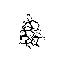 CC1=C(C)C(=O)O[C@@H]([C@](C)(O)[C@H]2CC[C@H]3[C@@H]4C[C@H]5O[C@]56[C@@H](O)CCC(=O)[C@]6(C)[C@H]4CC[C@]23C)C1